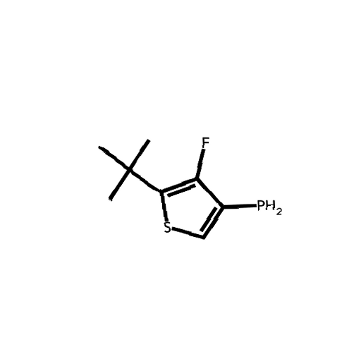 CC(C)(C)c1scc(P)c1F